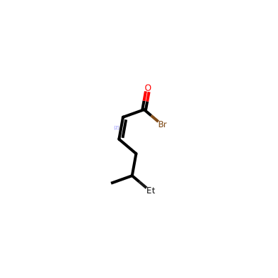 CCC(C)C/C=C\C(=O)Br